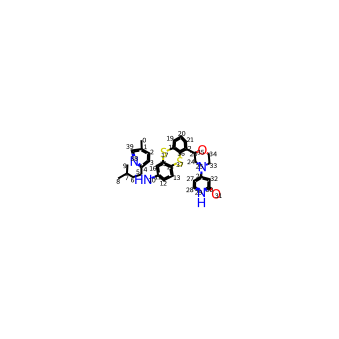 Cc1ccc(C(CC(C)C)Nc2ccc3c(c2)Sc2cccc(C4CN(c5cc[nH]c(=O)c5)CCO4)c2S3)nc1